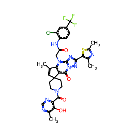 CC1=CC2(CCN(C(=O)c3ncnc(C)c3O)CC2)c2c1n(CC(=O)Nc1ccc(C(F)(F)F)cc1Cl)c1nc(-c3sc(C)nc3C)nn1c2=O